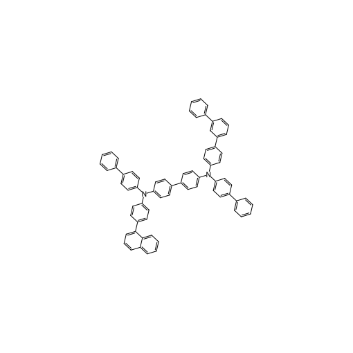 c1ccc(-c2ccc(N(c3ccc(-c4ccc(N(c5ccc(-c6ccccc6)cc5)c5ccc(-c6cccc7ccccc67)cc5)cc4)cc3)c3ccc(-c4cccc(-c5ccccc5)c4)cc3)cc2)cc1